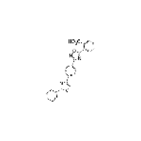 O=C(O)c1ccccc1-c1nc(-c2ccc(-c3csc(-c4ccccc4)n3)cc2)no1